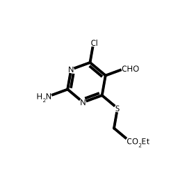 CCOC(=O)CSc1nc(N)nc(Cl)c1C=O